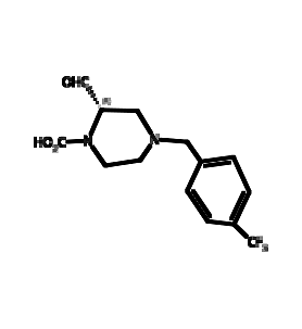 O=C[C@@H]1CN(Cc2ccc(C(F)(F)F)cc2)CCN1C(=O)O